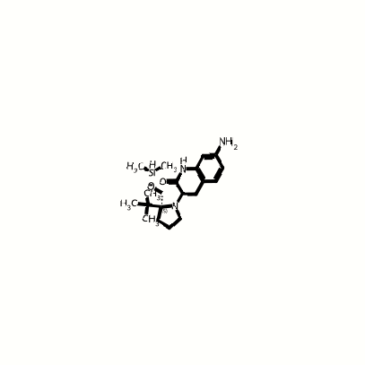 C[SiH](C)OC[C@@]1(C(C)(C)C)CCCN1C1Cc2ccc(N)cc2NC1=O